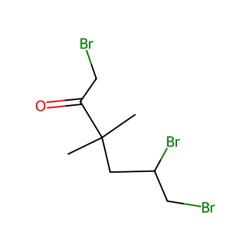 CC(C)(CC(Br)CBr)C(=O)CBr